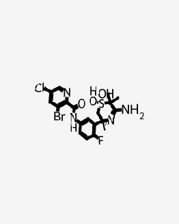 CC1(C)C(N)=N[C@](C)(c2cc(NC(=O)c3ncc(Cl)cc3Br)ccc2F)CS1(O)O